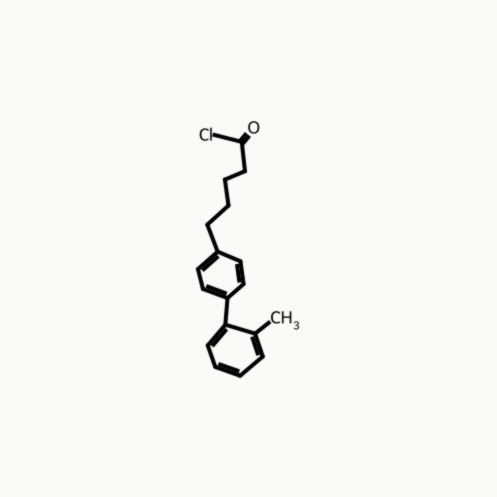 Cc1ccccc1-c1ccc(CCCCC(=O)Cl)cc1